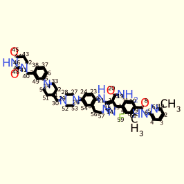 Cc1cccc(NC(=O)c2ccc(-c3nn4c(c3C(N)=O)Nc3ccc(N5CCN(CC6CCN(c7cccc(CN8CCC(=O)NC8=O)c7)CC6)CC5)cc3CC4)c(F)c2C)n1